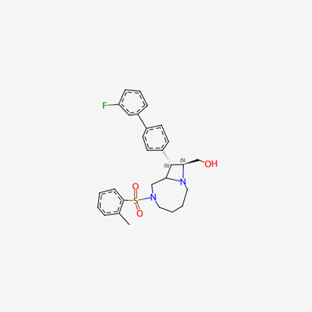 Cc1ccccc1S(=O)(=O)N1CCCCN2C(C1)[C@H](c1ccc(-c3cccc(F)c3)cc1)[C@H]2CO